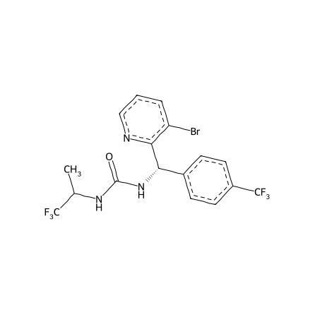 CC(NC(=O)N[C@@H](c1ccc(C(F)(F)F)cc1)c1ncccc1Br)C(F)(F)F